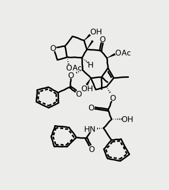 CC(=O)O[C@@H]1C(=O)[C@@]2(C)[C@H](O)CC3OC[C@]3(OC(C)=O)[C@@H]2[C@@H](OC(=O)c2ccccc2)[C@@]2(O)C[C@@H](OC(=O)[C@H](O)[C@@H](NC(=O)c3ccccc3)c3ccccc3)C(C)=C1C2(C)C